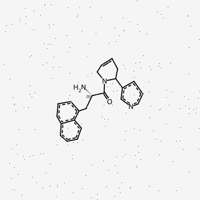 N[C@@H](Cc1cccc2ccccc12)C(=O)N1CC=CCC1c1cccnc1